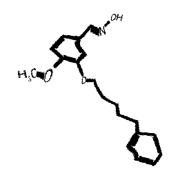 COc1ccc(/C=N/O)cc1OCCCCCc1ccccc1